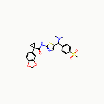 CN(C)C(c1ccc(S(C)(=O)=O)cc1)c1cnc(NC(=O)C2(c3ccc4c(c3)OCO4)CC2)s1